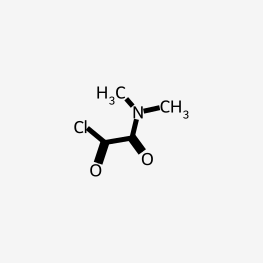 CN(C)C(=O)C(=O)Cl